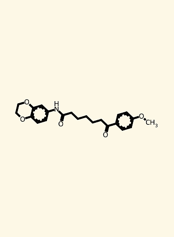 COc1ccc(C(=O)CCCCCC(=O)Nc2ccc3c(c2)OCCO3)cc1